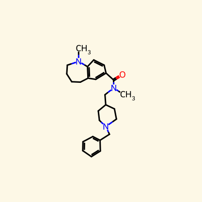 CN(CC1CCN(Cc2ccccc2)CC1)C(=O)c1ccc2c(c1)CCCCN2C